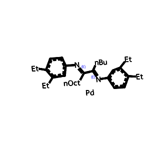 CCCCCCCCC(=N\c1ccc(CC)c(CC)c1)/C(CCCC)=N/c1ccc(CC)c(CC)c1.[Pd]